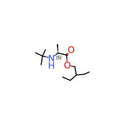 CCC(CC)COC(=O)[C@H](C)NC(C)(C)C